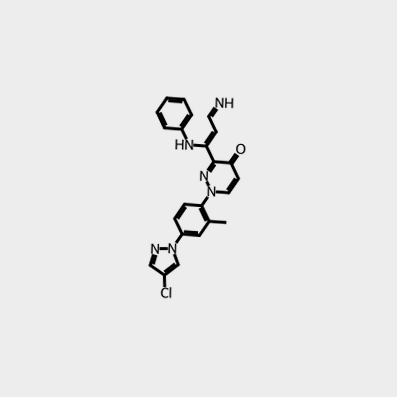 Cc1cc(-n2cc(Cl)cn2)ccc1-n1ccc(=O)c(/C(=C/C=N)Nc2ccccc2)n1